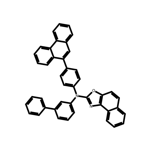 c1ccc(-c2cccc(N(c3ccc(-c4cc5ccccc5c5ccccc45)cc3)c3nc4c(ccc5ccccc54)o3)c2)cc1